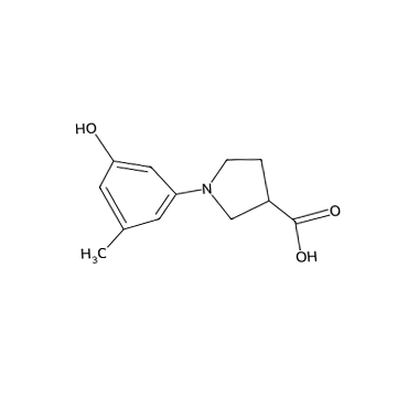 Cc1cc(O)cc(N2CCC(C(=O)O)C2)c1